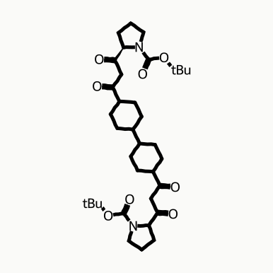 CC(C)(C)OC(=O)N1CCCC1C(=O)CC(=O)C1CCC(C2CCC(C(=O)CC(=O)[C@H]3CCCN3C(=O)OC(C)(C)C)CC2)CC1